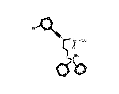 CC(C)(C)[S@+]([O-])N[C@@H](C#Cc1cccc(Br)c1)CCO[Si](c1ccccc1)(c1ccccc1)C(C)(C)C